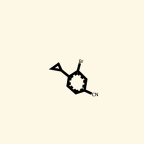 N#Cc1ccc(C2CC2)c(Br)c1